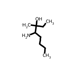 [CH2]C(O)(CC)C(N)CCCC